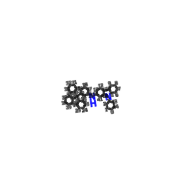 c1ccc(-n2c3ccccc3c3ccc(Nc4cccc5c4-c4ccccc4C5(c4ccccc4)c4ccccc4)cc32)cc1